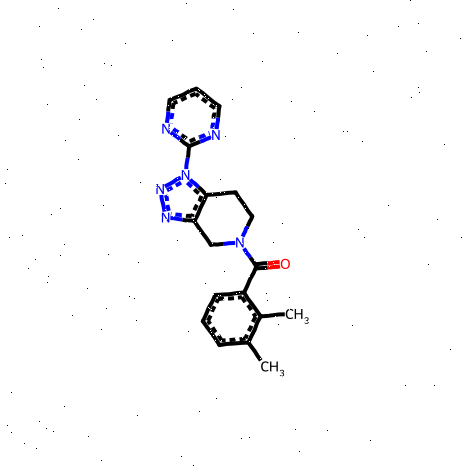 Cc1cccc(C(=O)N2CCc3c(nnn3-c3ncccn3)C2)c1C